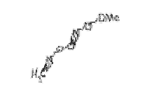 COCCCOCCCN1CCN(OCCOCCCCN2CCN(C)CC2)CC1